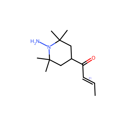 C/C=C/C(=O)C1CC(C)(C)N(N)C(C)(C)C1